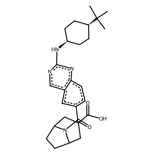 CC(C)(C)[C@H]1CC[C@@H](Nc2ncc3cc(C(=O)N4C5CCC4CC(C(=O)O)C5)ccc3n2)CC1